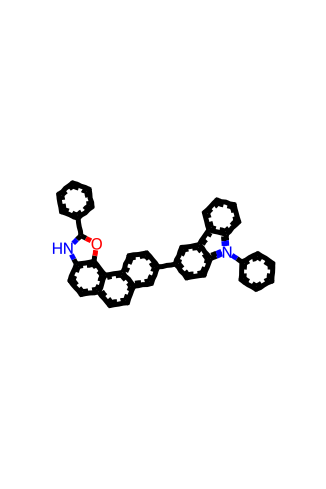 c1ccc(C2Nc3ccc4ccc5cc(-c6ccc7c(c6)c6ccccc6n7-c6ccccc6)ccc5c4c3O2)cc1